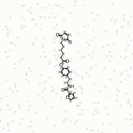 O=C(CCCCCN1C(=O)C=CC1=O)Oc1ccc(CCNC(=O)c2ccco2)cc1